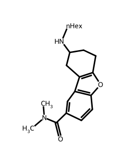 CCCCCCNC1CCc2oc3ccc(C(=O)N(C)C)cc3c2C1